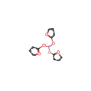 c1coc(OP(Oc2ccco2)Oc2ccco2)c1